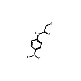 CCN(c1ccc(NC(=O)CS)cc1)C(C)C